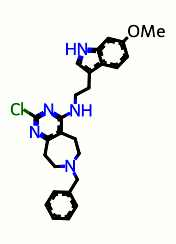 COc1ccc2c(CCNc3nc(Cl)nc4c3CCN(Cc3ccccc3)CC4)c[nH]c2c1